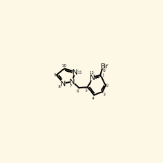 Brc1cccc(Cn2nccn2)n1